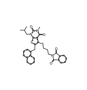 CC(C)Cn1c(=O)n(C)c(=O)c2c(SCCCN3C(=O)c4ccccc4C3=O)c(Cc3cccc4ccccc34)sc21